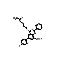 COc1cc(-c2ccc(F)cc2)cc2c(NCCCCC(N)=O)nc(-c3cccnc3)nc12